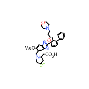 COc1cc2c(cc1CN1CCC(F)(F)CC1CC(=O)O)nc(C1(OCCCN3CCOCC3)C=CC=C(c3ccccc3)C1C)n2C